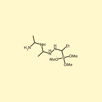 CCC(NNC(C)NC(C)N)[Si](OC)(OC)OC